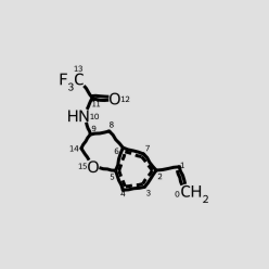 C=Cc1ccc2c(c1)CC(NC(=O)C(F)(F)F)CO2